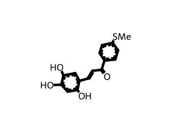 CSc1ccc(C(=O)/C=C/c2cc(O)c(O)cc2O)cc1